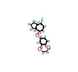 Fc1ccc(Oc2ccc3c(c2)OCCO3)c2c1CCC2